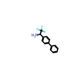 NC(c1ccc(-c2ccccc2)cc1)C(F)(F)F